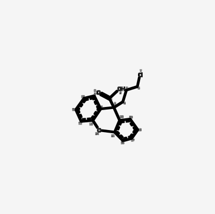 O=C(O)C1(CCCCl)c2ccccc2Oc2ccccc21